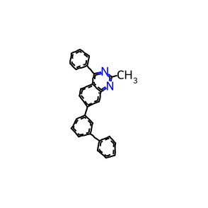 Cc1nc(-c2ccccc2)c2ccc(-c3cccc(-c4ccccc4)c3)cc2n1